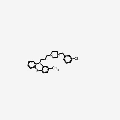 Cc1ccc2c(c1)N(CCCN1CCN(Cc3cccc(Cl)c3)CC1)c1ccccc1S2